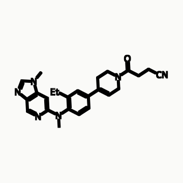 CCc1cc(C2=CCN(C(=O)CCC#N)CC2)ccc1N(C)c1cc2c(cn1)ncn2C